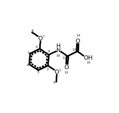 COc1cccc(OC)c1NC(=O)C(=O)O